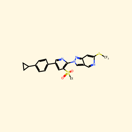 CCS(=O)(=O)c1cc(-c2ccc(C3CC3)cc2)cnc1-n1cc2cnc(SC(F)(F)F)cc2n1